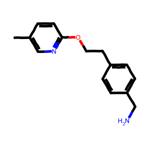 Cc1ccc(OCCc2ccc(CN)cc2)nc1